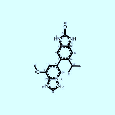 COc1cc(-c2cc3[nH]c(=O)[nH]c3cc2C(C)C)cn2ncnc12